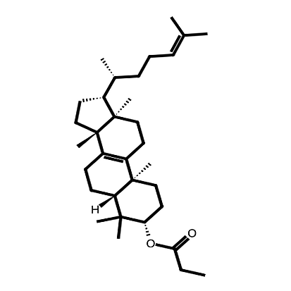 CCC(=O)O[C@H]1CC[C@]2(C)C3=C(CC[C@H]2C1(C)C)[C@]1(C)CC[C@H]([C@H](C)CCC=C(C)C)[C@@]1(C)CC3